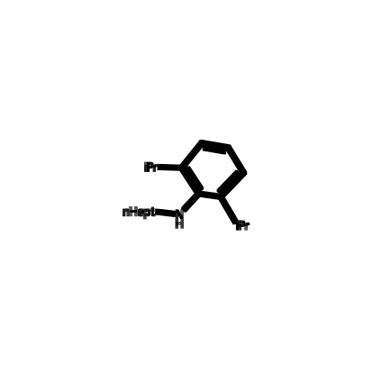 CCCCCCCNc1c(C(C)C)cccc1C(C)C